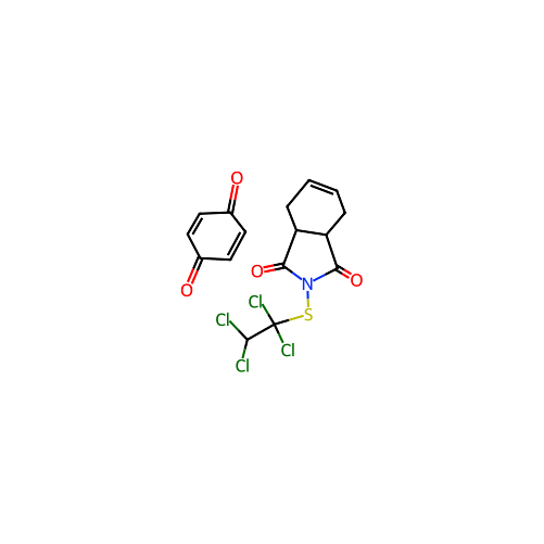 O=C1C2CC=CCC2C(=O)N1SC(Cl)(Cl)C(Cl)Cl.O=C1C=CC(=O)C=C1